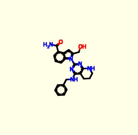 NC(=O)c1cccc2c1cc(CO)n2-c1nc2c(c(NCc3ccccc3)n1)CCCN2